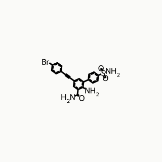 NC(=O)c1cc(C#Cc2ccc(Br)cc2)cc(-c2ccc(S(N)(=O)=O)cc2)c1N